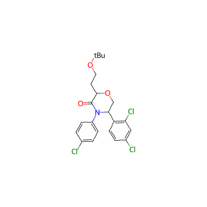 CC(C)(C)OCCC1OCC(c2ccc(Cl)cc2Cl)N(c2ccc(Cl)cc2)C1=O